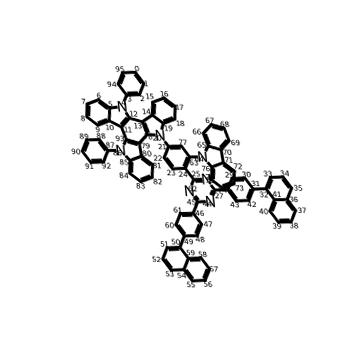 c1ccc(-n2c3ccccc3c3c2c2c4ccccc4n(-c4ccc(-c5nc(-c6ccc(-c7cccc8ccccc78)cc6)nc(-c6ccc(-c7cccc8ccccc78)cc6)n5)c(-n5c6ccccc6c6ccccc65)c4)c2c2c4ccccc4n(-c4ccccc4)c32)cc1